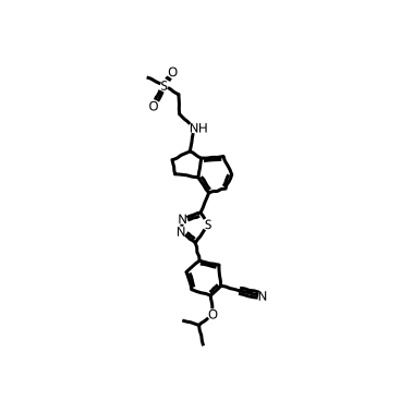 CC(C)Oc1ccc(-c2nnc(-c3cccc4c3CCC4NCCS(C)(=O)=O)s2)cc1C#N